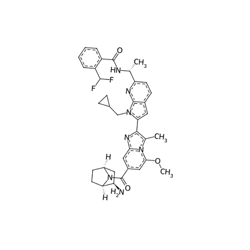 COc1cc(C(=O)N2[C@H]3CC[C@@H]2[C@H](N)C3)cc2nc(-c3cc4ccc([C@@H](C)NC(=O)c5ccccc5C(F)F)nc4n3CC3CC3)c(C)n12